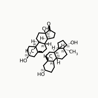 C[C@]12CC[C@H](O)CC1=CC[C@@H]1[C@@H]2CC[C@]2(C)C(=O)CC[C@@H]12.C[C@]12CC[C@H]3[C@@H](CC=C4C[C@@H](O)CC[C@@]43C)[C@@H]1CC[C@@H]2O